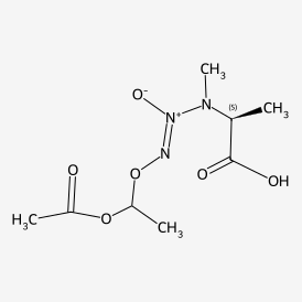 CC(=O)OC(C)ON=[N+]([O-])N(C)[C@@H](C)C(=O)O